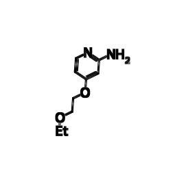 CCOCCOc1ccnc(N)c1